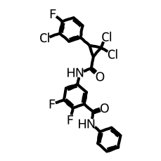 O=C(Nc1ccccc1)c1cc(NC(=O)C2C(c3ccc(F)c(Cl)c3)C2(Cl)Cl)cc(F)c1F